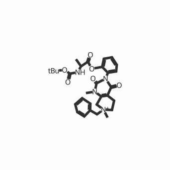 CC(NC(=O)OC(C)(C)C)C(=O)Oc1ccccc1-n1c(=O)c2c(n(C)c1=O)C[N+](C)(Cc1ccccc1)CC2